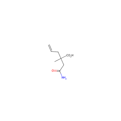 C=CCC(C)(CC(N)=O)C(=O)O